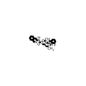 [CH2]C(O)C[C@@H](COC(=O)Nc1cc2ccccc2cn1)N(NCc1cccc(F)c1F)C(C)=O